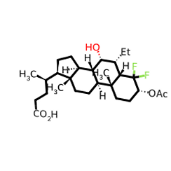 CC[C@H]1[C@@H](O)[C@@H]2[C@H](CC[C@]3(C)[C@@H]([C@H](C)CCC(=O)O)CC[C@@H]23)[C@@]2(C)CC[C@@H](OC(C)=O)C(F)(F)[C@@H]12